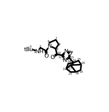 CC(C)(C)NCC(=O)N1CCCC1C(=O)c1noc(C23CC4CC(CC(C4)C2)C3)n1